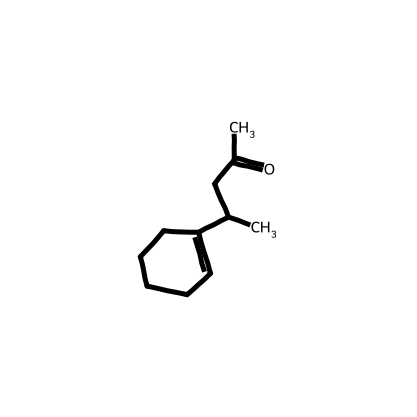 CC(=O)CC(C)C1=CCCCC1